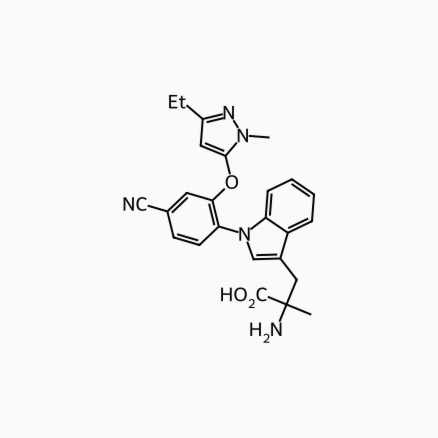 CCc1cc(Oc2cc(C#N)ccc2-n2cc(CC(C)(N)C(=O)O)c3ccccc32)n(C)n1